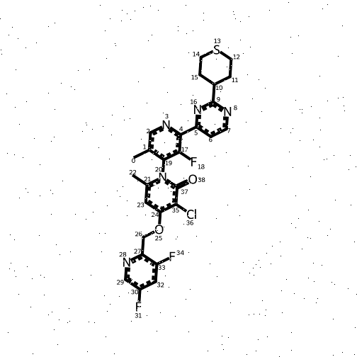 Cc1cnc(-c2ccnc(C3CCSCC3)n2)c(F)c1-n1c(C)cc(OCc2ncc(F)cc2F)c(Cl)c1=O